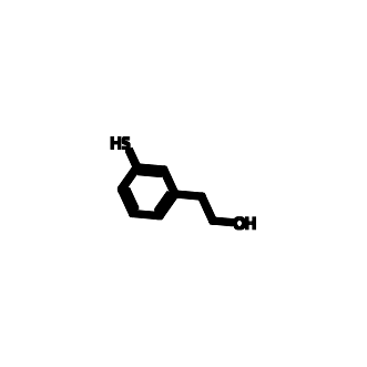 OCCc1cccc(S)c1